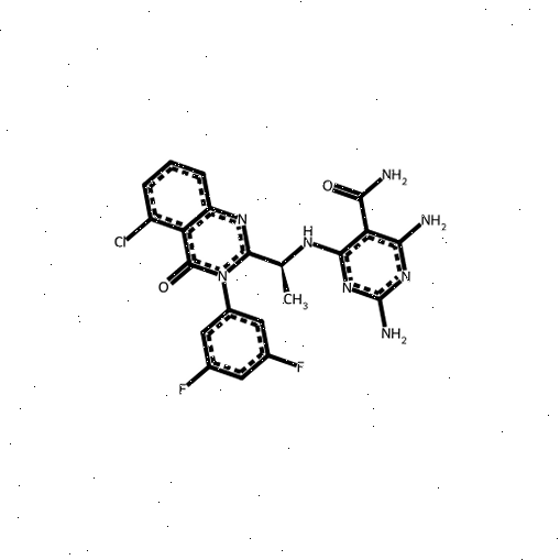 C[C@H](Nc1nc(N)nc(N)c1C(N)=O)c1nc2cccc(Cl)c2c(=O)n1-c1cc(F)cc(F)c1